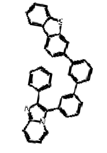 c1ccc(-c2nc3ccccn3c2-c2cccc(-c3cccc(-c4ccc5c(c4)sc4ccccc45)c3)c2)cc1